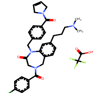 CN(C)CCCc1ccc2c(c1)N(Cc1ccc(C(=O)N3CC=CC3)cc1)C(=O)CN(C(=O)c1ccc(Cl)cc1)C2.O=C(O)C(F)(F)F